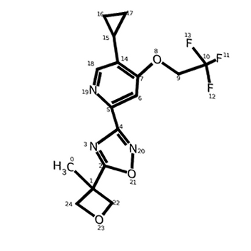 CC1(c2nc(-c3cc(OCC(F)(F)F)c(C4CC4)cn3)no2)COC1